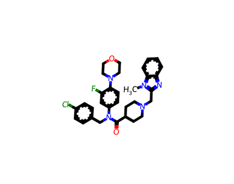 Cn1c(CN2CCC(C(=O)N(Cc3ccc(Cl)cc3)c3ccc(N4CCOCC4)c(F)c3)CC2)nc2ccccc21